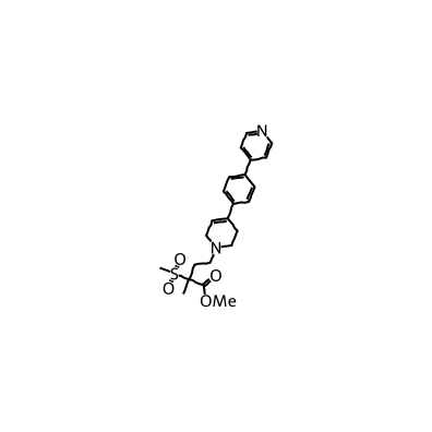 COC(=O)C(C)(CCN1CC=C(c2ccc(-c3ccncc3)cc2)CC1)S(C)(=O)=O